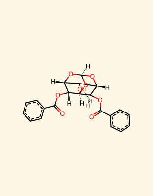 O=C(O[C@H]1[C@H]2O[C@H]3O[C@@H]1[C@H](O)[C@H](O3)[C@H]2OC(=O)c1ccccc1)c1ccccc1